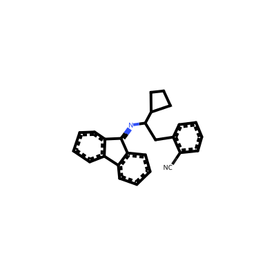 N#Cc1ccccc1CC(N=C1c2ccccc2-c2ccccc21)C1CCC1